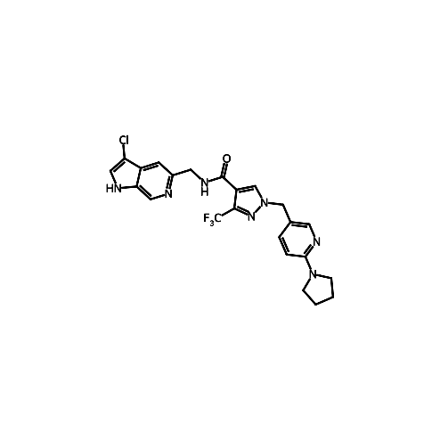 O=C(NCc1cc2c(Cl)c[nH]c2cn1)c1cn(Cc2ccc(N3CCCC3)nc2)nc1C(F)(F)F